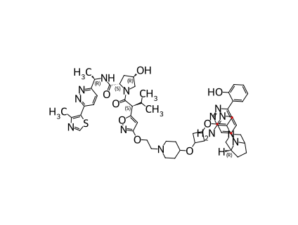 Cc1ncsc1-c1ccc([C@@H](C)NC(=O)[C@@H]2C[C@@H](O)CN2C(=O)[C@H](c2cc(OCCN3CCC(OC4CC(Oc5cc(N6C7CC[C@@H]6CN(c6cc(-c8ccccc8O)nnc6N)C7)ccn5)C4)CC3)no2)C(C)C)nn1